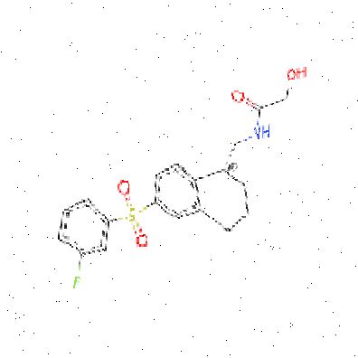 O=C(CO)NC[C@@H]1CCCc2cc(S(=O)(=O)c3cccc(F)c3)ccc21